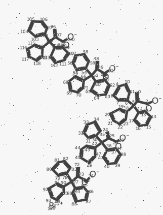 C=C(C(=O)[O-])C(c1ccccc1)(c1ccccc1)c1ccccc1.C=C(C(=O)[O-])C(c1ccccc1)(c1ccccc1)c1ccccc1.C=C(C(=O)[O-])C(c1ccccc1)(c1ccccc1)c1ccccc1.C=C(C(=O)[O-])C(c1ccccc1)(c1ccccc1)c1ccccc1.C=C(C(=O)[O-])C(c1ccccc1)(c1ccccc1)c1ccccc1.[Bi+5]